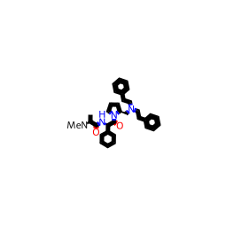 CN[C@@H](C)C(=O)N[C@@H](C(=O)N1CCC[C@H]1CN(CCc1ccccc1)CCc1ccccc1)C1CCCCC1